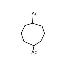 CC(=O)C1CCCC(C(C)=O)CCC1